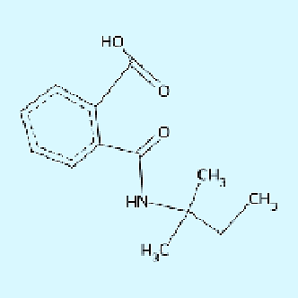 CCC(C)(C)NC(=O)c1ccccc1C(=O)O